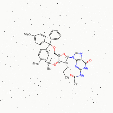 COc1ccc(C(OC[C@H]2O[C@@H](n3cnc4c(=O)[nH]c(NC(=O)C(C)C)nc43)[C@H]([CH]CC#N)[C@H]2O[Si](C)(C)C(C)(C)C)(c2ccccc2)c2ccc(OC)cc2)cc1